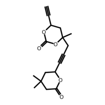 C#CC1CC(C)(CC#CC2CC(C)(C)CC(=O)O2)OC(=O)O1